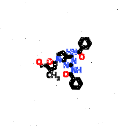 C[C@H]1C[C@H](n2ccc3c(NC(=O)c4ccccc4)nc(NC(=O)c4ccccc4)nc32)O[C@@H]1C=O